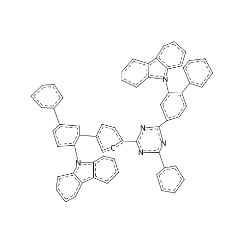 c1ccc(-c2ccc(-n3c4ccccc4c4ccccc43)c(-c3ccc(-c4nc(-c5ccccc5)nc(-c5ccc(-c6ccccc6)c(-n6c7ccccc7c7ccccc76)c5)n4)cc3)c2)cc1